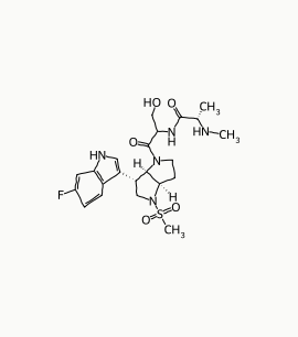 CN[C@@H](C)C(=O)NC(CO)C(=O)N1CC[C@@H]2[C@H]1[C@@H](c1c[nH]c3cc(F)ccc13)CN2S(C)(=O)=O